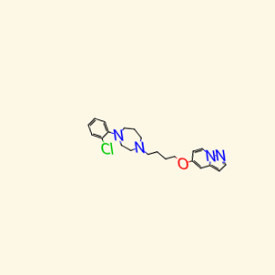 Clc1ccccc1N1CCCN(CCCCOc2ccn3nccc3c2)CC1